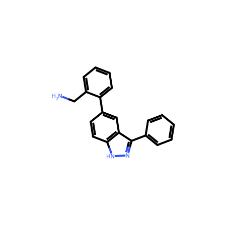 NCc1ccccc1-c1ccc2[nH]nc(-c3ccccc3)c2c1